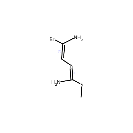 CS/C(N)=N/C=C(\N)Br